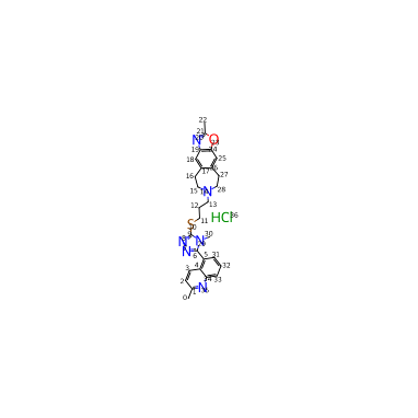 Cc1ccc2c(-c3nnc(SCCCN4CCc5cc6nc(C)oc6cc5CC4)n3C)cccc2n1.Cl